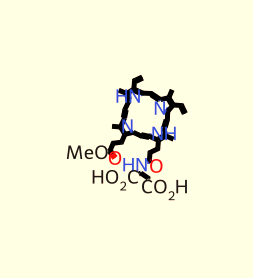 C=CC1=C(C)c2cc3[nH]c(cc4nc(cc5[nH]c(cc1n2)c(C)c5CCC(=O)NC(CC(=O)O)C(=O)O)C(CCC(=O)OC)C4C)c(C)c3C=C